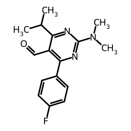 CC(C)c1nc(N(C)C)nc(-c2ccc(F)cc2)c1C=O